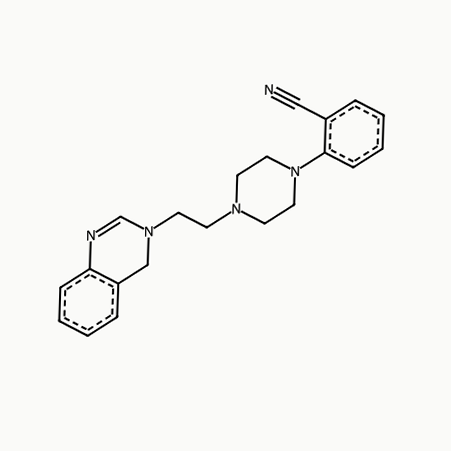 N#Cc1ccccc1N1CCN(CCN2C=Nc3ccccc3C2)CC1